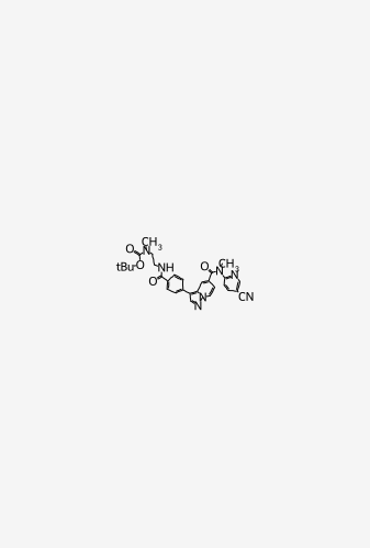 CN(CCNC(=O)c1ccc(-c2cnn3ccc(C(=O)N(C)c4ccc(C#N)cn4)cc23)cc1)C(=O)OC(C)(C)C